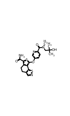 CN(CC(C)(C)O)C(=O)c1ccc(Oc2sc(C(N)=O)c3c2-c2sncc2CC3)cn1